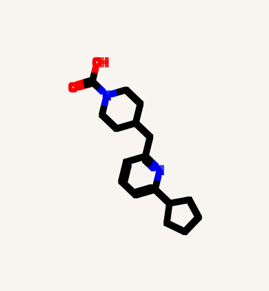 O=C(O)N1CCC(Cc2cccc(C3CCCC3)n2)CC1